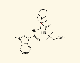 COCC(C)(C)NC(=O)CN1C2CCC1CC(CNC(=O)c1cn(C)c3ccccc13)C2